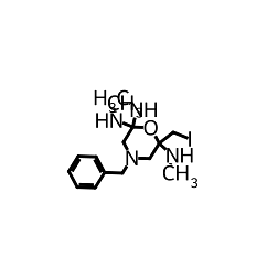 CNC1(CI)CN(Cc2ccccc2)CC(NC)(NC)O1